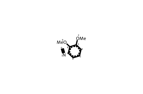 C#N.COc1ccccc1OC